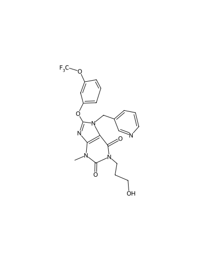 Cn1c(=O)n(CCCO)c(=O)c2c1nc(Oc1cccc(OC(F)(F)F)c1)n2Cc1cccnc1